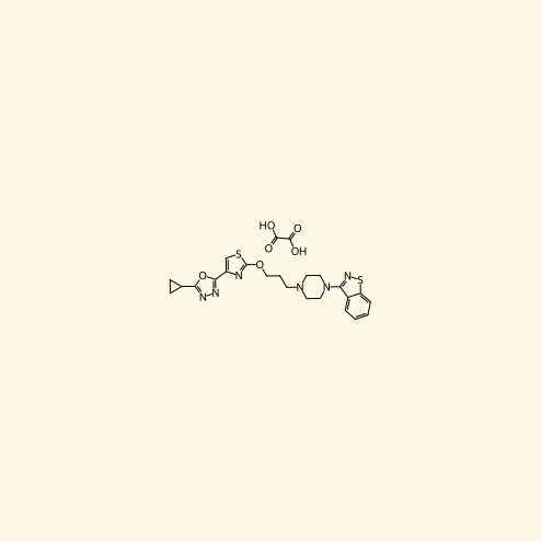 O=C(O)C(=O)O.c1ccc2c(N3CCN(CCCOc4nc(-c5nnc(C6CC6)o5)cs4)CC3)nsc2c1